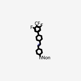 CCCCCCCCCC1CCC(/C=C/C2CCC(c3cc(F)c(C(F)(F)F)c(F)c3)CC2)CC1